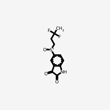 CC(F)(F)CC[S+]([O-])c1ccc2c(c1)C(=O)C(=O)N2